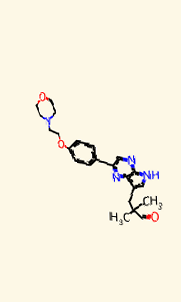 CC(C)(C=O)Cc1c[nH]c2ncc(-c3ccc(OCCN4CCOCC4)cc3)nc12